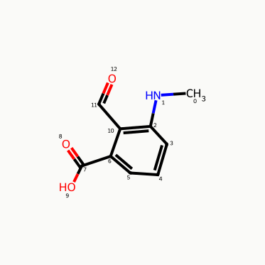 CNc1cccc(C(=O)O)c1C=O